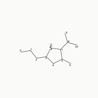 CCCC1CC(C)C(C(C)C)S1